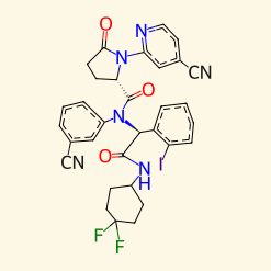 N#Cc1cccc(N(C(=O)[C@@H]2CCC(=O)N2c2cc(C#N)ccn2)[C@H](C(=O)NC2CCC(F)(F)CC2)c2ccccc2I)c1